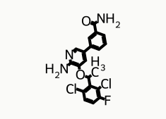 CC(Oc1cc(-c2cccc(C(N)=O)c2)cnc1N)c1c(Cl)ccc(F)c1Cl